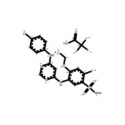 CNS(=O)(=O)c1cc(Nc2cc(Nc3ccc(Cl)cc3)ncn2)c(OCC(F)(F)F)cc1F.O=C(O)C(F)(F)F